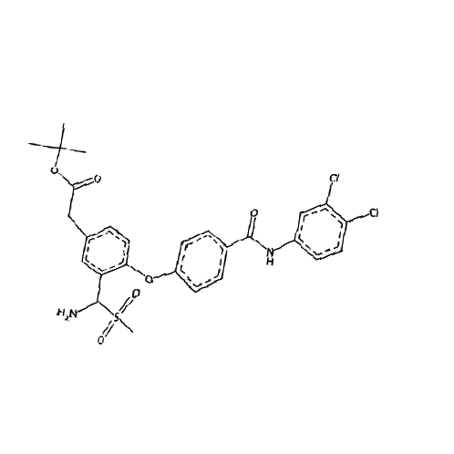 CC(C)(C)OC(=O)Cc1ccc(Oc2ccc(C(=O)Nc3ccc(Cl)c(Cl)c3)cc2)c(C(N)S(C)(=O)=O)c1